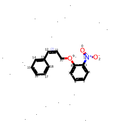 O=[N+]([O-])c1ccccc1OC/C=C\c1ccccc1